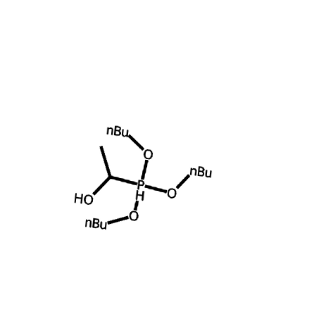 CCCCO[PH](OCCCC)(OCCCC)C(C)O